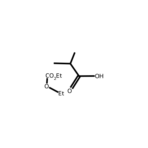 CC(C)C(=O)O.CCOC(=O)OCC